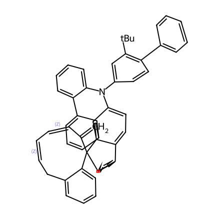 C=C1/C=C\C=C/Cc2ccccc2C12c1ccccc1-c1ccc(N(c3ccc(-c4ccccc4)c(C(C)(C)C)c3)c3ccccc3-c3ccccc3)cc12